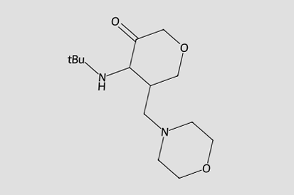 CC(C)(C)NC1C(=O)COCC1CN1CCOCC1